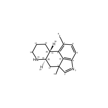 CC12C=Nc3ccc(I)c(c31)[C@H]1CCCN[C@@H]1C2